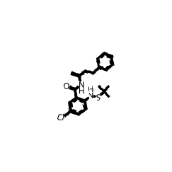 C=C(CCc1ccccc1)NC(=O)c1cc(Cl)ccc1NSC(C)(C)C